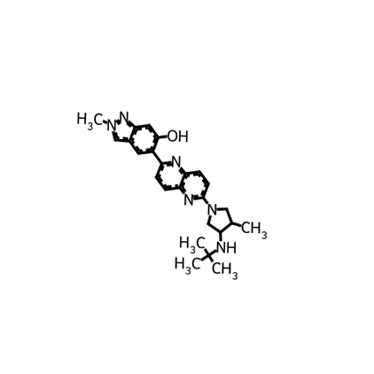 CC1CN(c2ccc3nc(-c4cc5cn(C)nc5cc4O)ccc3n2)CC1NC(C)(C)C